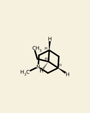 CC[C@@H]1[C@@H]2C[C@H]1CN(C)C2